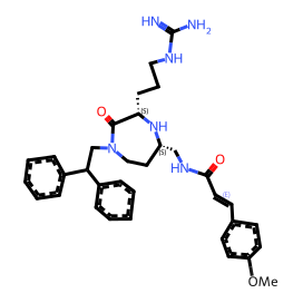 COc1ccc(/C=C/C(=O)NC[C@@H]2CCN(CC(c3ccccc3)c3ccccc3)C(=O)[C@H](CCCNC(=N)N)N2)cc1